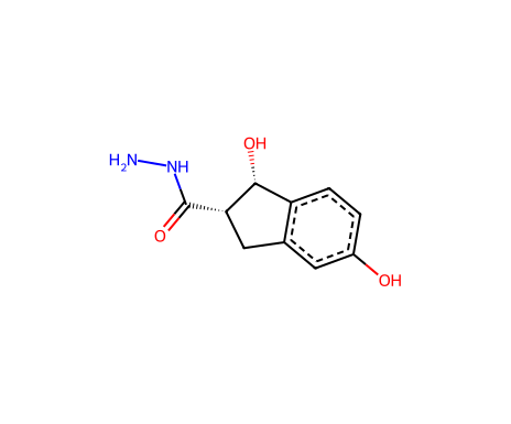 NNC(=O)[C@H]1Cc2cc(O)ccc2[C@H]1O